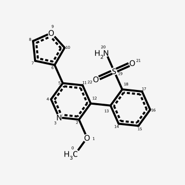 COc1ncc(-c2ccoc2)cc1-c1ccccc1S(N)(=O)=O